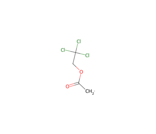 [CH2]C(=O)OCC(Cl)(Cl)Cl